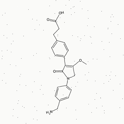 COC1=C(c2ccc(CCC(=O)O)cc2)C(=O)N(c2ccc(CN)cc2)C1